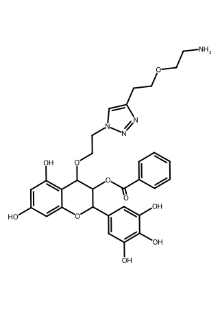 NCCOCCc1cn(CCOC2c3c(O)cc(O)cc3OC(c3cc(O)c(O)c(O)c3)C2OC(=O)c2ccccc2)nn1